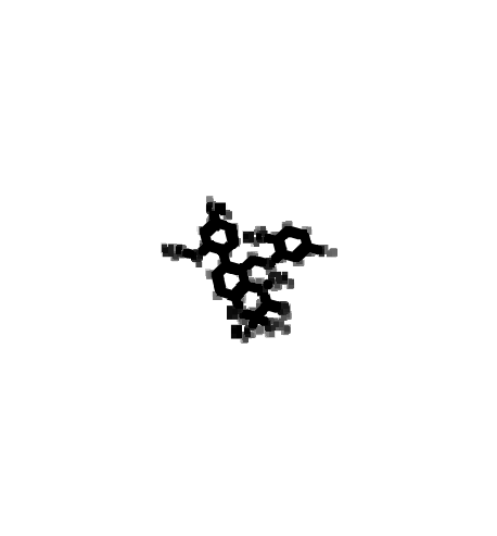 COc1cc(C)ccc1-c1ccc2c(c1COc1cc(F)ccc1C)N(C)C(=O)C(C)(C)N2